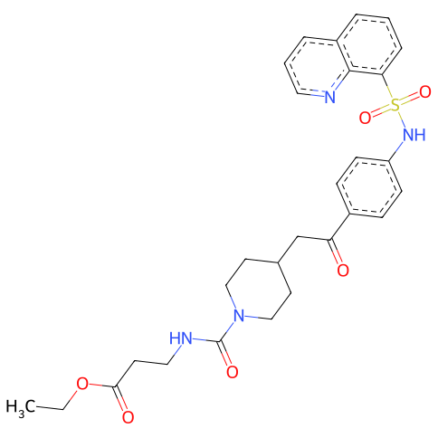 CCOC(=O)CCNC(=O)N1CCC(CC(=O)c2ccc(NS(=O)(=O)c3cccc4cccnc34)cc2)CC1